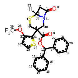 O=C1C[C@H]2SCC(C(=O)OC(c3ccccc3)c3ccccc3)(c3sccc3OC(F)(F)F)CN12